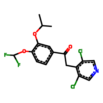 CC(C)Oc1cc(C(=O)Cc2c(Cl)cncc2Cl)ccc1OC(F)F